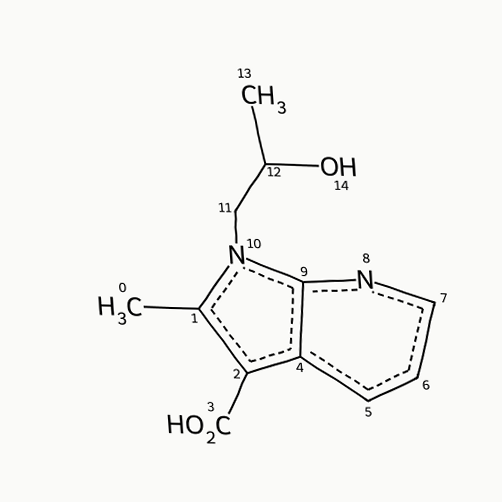 Cc1c(C(=O)O)c2cccnc2n1CC(C)O